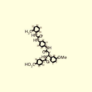 COc1cccc(C(CC(=O)Nc2ccc(NC(=O)Nc3ccccc3C)cc2)NC(=O)c2ccc(C(=O)O)cc2)c1